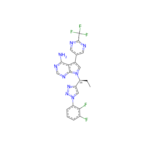 CC[C@@H](c1cn(-c2cccc(F)c2F)nn1)n1cc(-c2cnc(C(F)(F)F)nc2)c2c(N)ncnc21